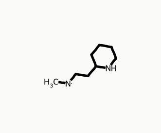 C[N]CCC1CCCCN1